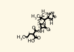 CCCC(C(=O)O)C(=O)NC1C(=O)N2C1SC(C)(C)C2c1nnn[nH]1